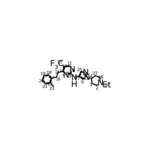 CCN1CCC(n2cc(Nc3ncc(C(F)(F)F)c(CCc4ccccc4C)n3)cn2)CC1